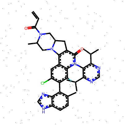 C=CC(=O)N1CC2Cc3c(c4cc(Cl)c(-c5c(C)ccc6[nH]cnc56)c(F)c4n(-c4c(C(C)C)ncnc4C(C)C)c3=O)N2CC1C